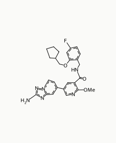 COc1ncc(-c2ccn3nc(N)nc3c2)cc1C(=O)NCc1ccc(F)cc1OCC1CCCC1